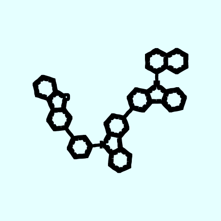 c1cc(-c2ccc3c(c2)oc2ccccc23)cc(-n2c3ccccc3c3cc(-c4ccc5c(c4)c4ccccc4n5-c4cccc5ccccc45)ccc32)c1